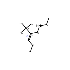 CC/C=C(\CNCC)C(C)(C)C